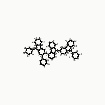 c1ccc(-c2cc3c(cc2-c2cccc4c2c2ccccc2n4-c2ccc4c(c2)c2ccccc2n4-c2ccccc2)c2ccccc2n3-c2ccccc2)cc1